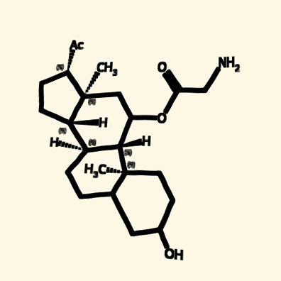 CC(=O)[C@H]1CC[C@H]2[C@@H]3CCC4CC(O)CC[C@]4(C)[C@H]3C(OC(=O)CN)C[C@]12C